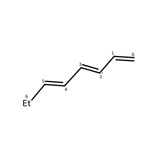 C=C[C]=CC=CCC